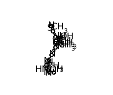 Cc1ncsc1-c1ccc(CNC(=O)[C@@H]2C[C@@H](O)CN2C(=O)[C@@H](NC(=O)N2CCC3(CC2)CC(N2CCC(c4cnc(N5CCc6[nH]c7nnc(-c8ccccc8O)cc7c6[C@@H]5C)nc4)CC2)C3)C(C)(C)C)cc1